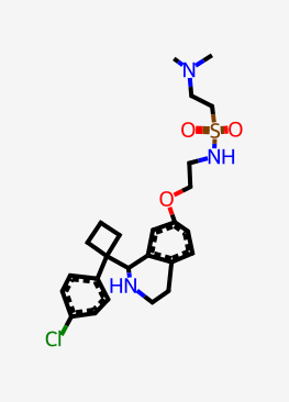 CN(C)CCS(=O)(=O)NCCOc1ccc2c(c1)C(C1(c3ccc(Cl)cc3)CCC1)NCC2